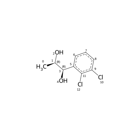 C[C@@H](O)[C@H](O)c1cccc(Cl)c1Cl